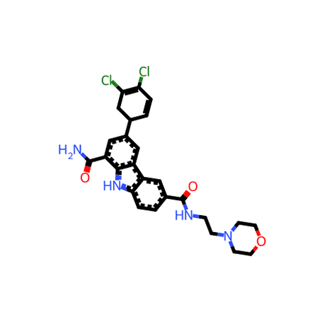 NC(=O)c1cc(C2C=CC(Cl)=C(Cl)C2)cc2c1[nH]c1ccc(C(=O)NCCN3CCOCC3)cc12